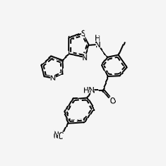 Cc1ccc(C(=O)Nc2ccc(C#N)cc2)cc1Nc1nc(-c2cccnc2)cs1